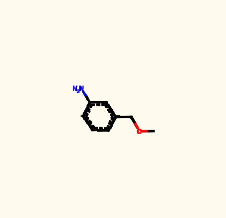 COCc1cc[c]c(N)c1